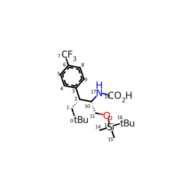 CC(C)(C)C[C@H](c1ccc(C(F)(F)F)cc1)[C@@H](CO[Si](C)(C)C(C)(C)C)NC(=O)O